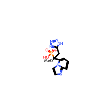 COC(Cc1nnn[nH]1)(c1cccc2nccn12)P(=O)(O)O